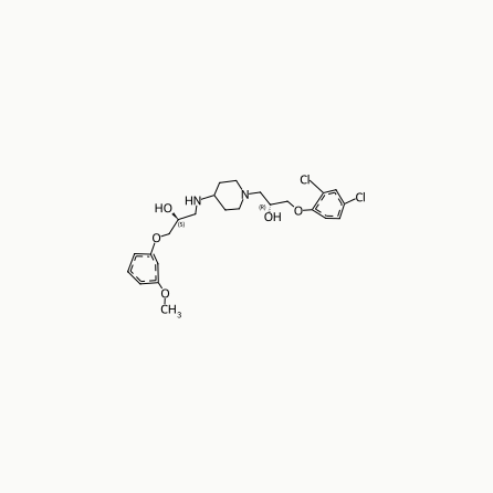 COc1cccc(OC[C@@H](O)CNC2CCN(C[C@@H](O)COc3ccc(Cl)cc3Cl)CC2)c1